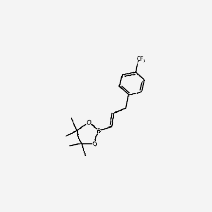 CC1(C)OB(C=CCc2ccc(C(F)(F)F)cc2)OC1(C)C